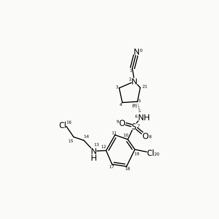 N#CN1CC[C@@H](NS(=O)(=O)c2cc(NCCCl)ccc2Cl)C1